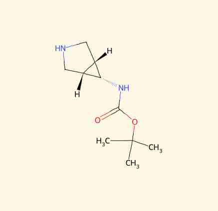 CC(C)(C)OC(=O)N[C@@H]1[C@@H]2CNC[C@@H]21